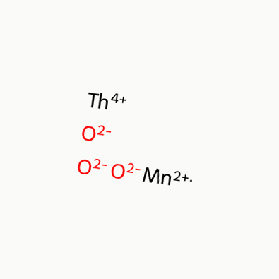 [Mn+2].[O-2].[O-2].[O-2].[Th+4]